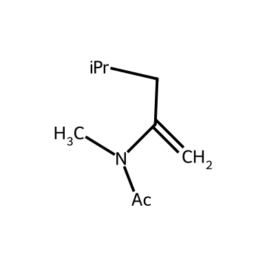 C=C(CC(C)C)N(C)C(C)=O